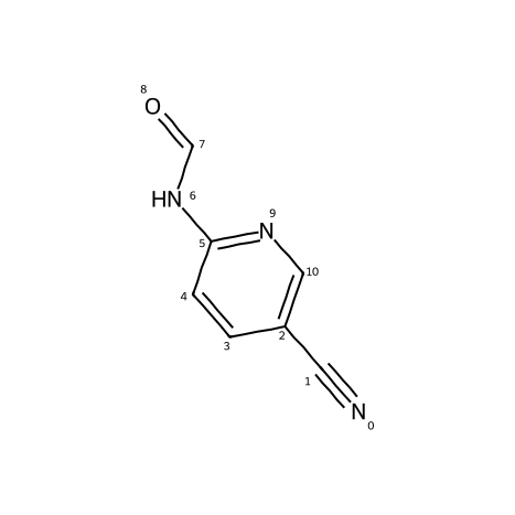 N#Cc1ccc(NC=O)nc1